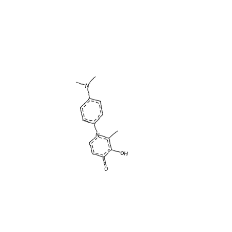 Cc1c(O)c(=O)ccn1-c1ccc(N(C)C)cc1